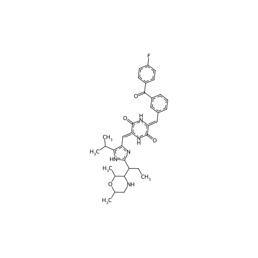 CCC(c1nc(/C=c2\[nH]c(=O)/c(=C/c3cccc(C(=O)c4ccc(F)cc4)c3)[nH]c2=O)c(C(C)C)[nH]1)C1NCC(C)OC1C